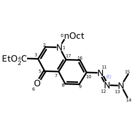 CCCCCCCCn1cc(C(=O)OCC)c(=O)c2ccc(/N=N/N(C)C)cc21